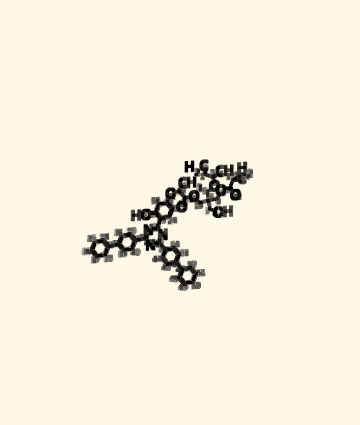 C=CC(=C)OCC(CO)(COC(=O)C=C)COC(=O)C(C)Oc1ccc(-c2nc(-c3ccc(-c4ccccc4)cc3)nc(-c3ccc(-c4ccccc4)cc3)n2)c(O)c1